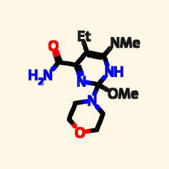 CCC1=C(NC)NC(OC)(N2CCOCC2)N=C1C(N)=O